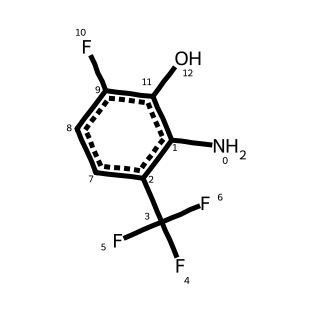 Nc1c(C(F)(F)F)ccc(F)c1O